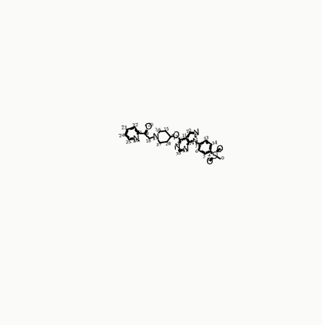 CS(=O)(=O)c1ccc(-n2ncc3c(OC4CCN(CC(=O)c5ccccn5)CC4)ncnc32)cc1